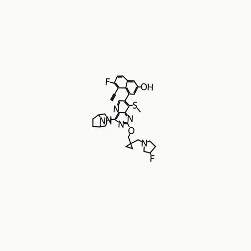 C#Cc1c(F)ccc2cc(O)cc(-c3cnc4c(N5CC6CCC(C5)N6)nc(OCC5(CN6CC[C@@H](F)C6)CC5)nc4c3SC)c12